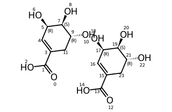 O=C(O)C1=C[C@@H](O)[C@@H](O)[C@H](O)C1.O=C(O)C1=C[C@@H](O)[C@@H](O)[C@H](O)C1